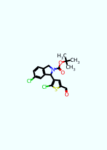 CC(C)(C)OC(=O)N1Cc2ccc(Cl)cc2C1c1cc(C=O)sc1Cl